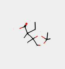 CCC(C)(C(=O)O)C1(C)COC(C)(C)O1